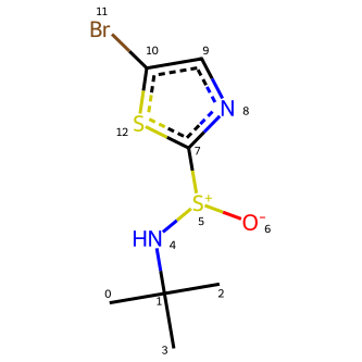 CC(C)(C)N[S+]([O-])c1ncc(Br)s1